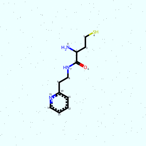 NC(CCS)C(=O)NCCc1ccccn1